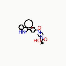 O=C(c1ccc(C2CNc3ccccc3C23CCCCCCCCC3)cc1)N1CCN(C(=O)C2(O)CC2)CC1